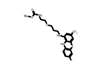 CC(C)(C)OC(=O)NCCOCCCNc1cc(C(F)(F)F)cc2c1Nc1ccc(Br)cc1S2